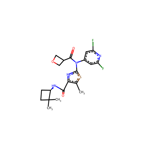 Cc1sc(N(C(=O)C2COC2)c2cc(F)nc(F)c2)nc1C(=O)N[C@@H]1CCC1(C)C